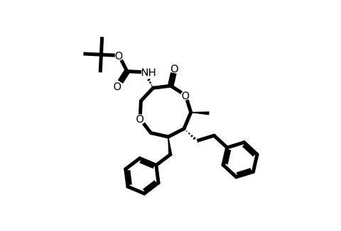 C[C@@H]1OC(=O)[C@@H](NC(=O)OC(C)(C)C)COC[C@H](Cc2ccccc2)[C@H]1CCc1ccccc1